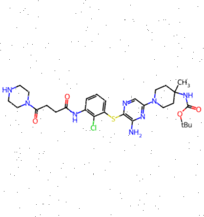 CC1(NC(=O)OC(C)(C)C)CCN(c2cnc(Sc3cccc(NC(=O)CCC(=O)N4CCNCC4)c3Cl)c(N)n2)CC1